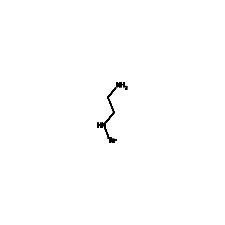 NCCN[Te]